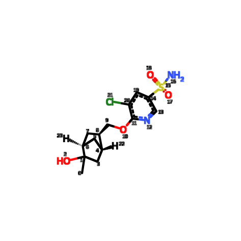 CC1(O)C[C@@H]2C[C@@H]1C[C@H]2COc1ncc(S(N)(=O)=O)cc1Cl